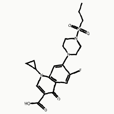 CCCS(=O)(=O)N1CCN(c2cc3c(cc2F)c(=O)c(C(=O)O)cn3C2CC2)CC1